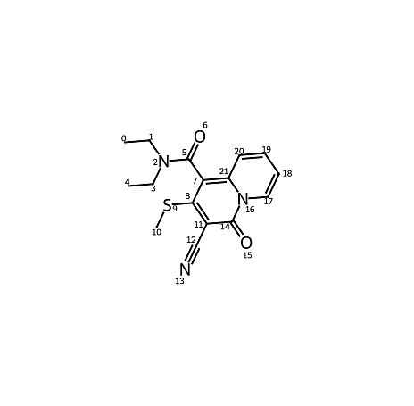 CCN(CC)C(=O)c1c(SC)c(C#N)c(=O)n2ccccc12